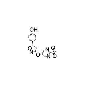 CS(=O)(=O)c1ncc(OC2=NO[C@@H](c3ccc(O)cc3)C2)cn1